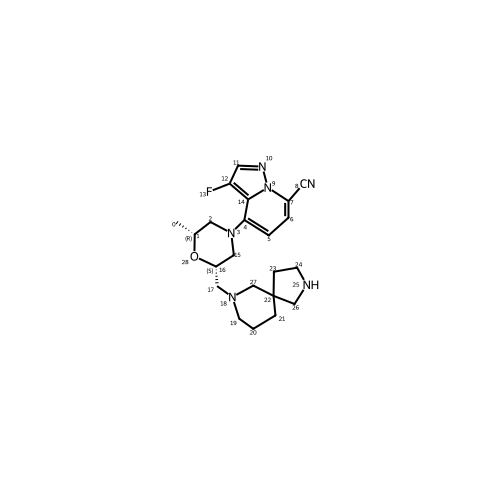 C[C@@H]1CN(c2ccc(C#N)n3ncc(F)c23)C[C@H](CN2CCCC3(CCNC3)C2)O1